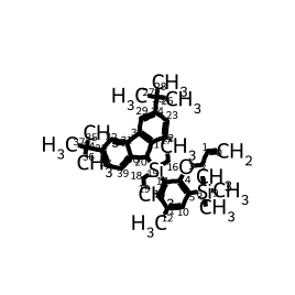 C=CCOc1c([Si](C)(C)C)cc(C)cc1[Si](CC)(CC)C1c2ccc(C(C)(C)C)cc2-c2cc(C(C)(C)C)ccc21